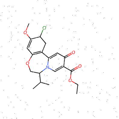 CCOC(=O)c1cn2c(cc1=O)C1=C(C=C(OC)C(Cl)C1)OCC2C(C)C